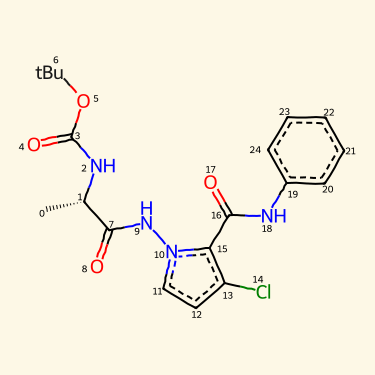 C[C@H](NC(=O)OC(C)(C)C)C(=O)Nn1ccc(Cl)c1C(=O)Nc1ccccc1